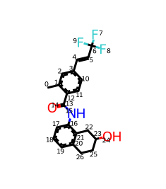 Cc1cc(C=CC(F)(F)F)ccc1C(=O)Nc1cccc2c1CC(O)CC2